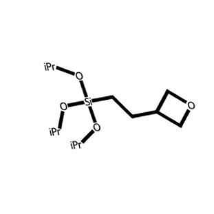 CC(C)O[Si](CCC1COC1)(OC(C)C)OC(C)C